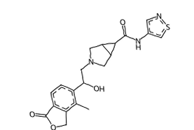 Cc1c(C(O)CN2CC3C(C2)C3C(=O)Nc2cnsc2)ccc2c1COC2=O